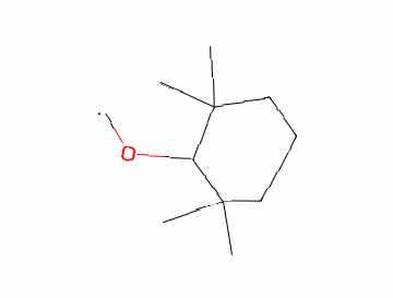 [CH2]OC1C(C)(C)CCCC1(C)C